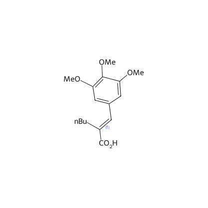 CCCC/C(=C\c1cc(OC)c(OC)c(OC)c1)C(=O)O